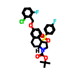 CC(C)(C)OC(=O)N1CC[C@@]2(S(=O)(=O)c3ccc(F)cc3)c3ccc(OCc4c(F)cccc4Cl)cc3CC[C@@H]12